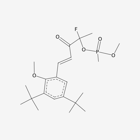 COc1c(C=CC(=O)C(C)(F)OP(C)(=O)OC)cc(C(C)(C)C)cc1C(C)(C)C